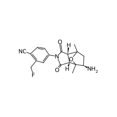 CC12C[C@@H](N)C(C)(O1)[C@@H]1C(=O)N(c3ccc(C#N)c(CF)c3)C(=O)[C@@H]12